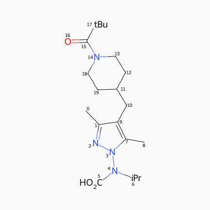 Cc1nn(N(C(=O)O)C(C)C)c(C)c1CC1CCN(C(=O)C(C)(C)C)CC1